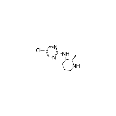 C[C@H]1NCCC[C@@H]1Nc1ncc(Cl)cn1